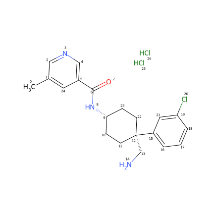 Cc1cncc(C(=O)N[C@H]2CC[C@](CN)(c3cccc(Cl)c3)CC2)c1.Cl.Cl